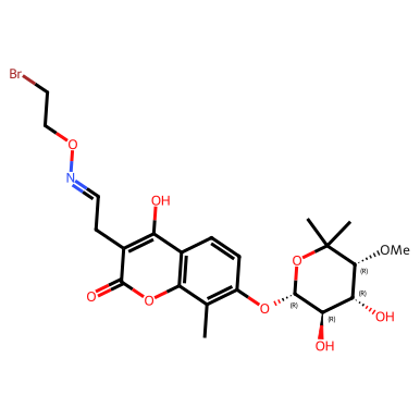 CO[C@@H]1[C@H](O)[C@@H](O)[C@H](Oc2ccc3c(O)c(CC=NOCCBr)c(=O)oc3c2C)OC1(C)C